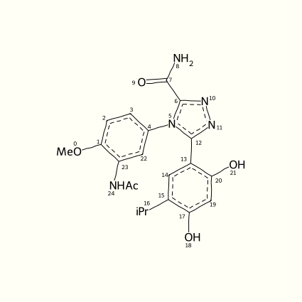 COc1ccc(-n2c(C(N)=O)nnc2-c2cc(C(C)C)c(O)cc2O)cc1NC(C)=O